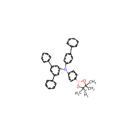 CC1(C)OB(c2ccc(N(c3ccc(-c4ccccc4)cc3)c3cc(-c4ccccc4)cc(-c4ccccc4)c3)cc2)OC1(C)C